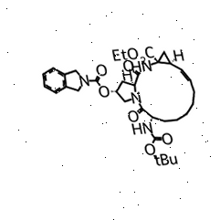 CCOC(=O)[C@@]12C[C@H]1/C=C\CCCCC[C@H](NC(=O)OC(C)(C)C)C(=O)N1C[C@H](OC(=O)N3Cc4ccccc4C3)C[C@H]1C(=O)N2